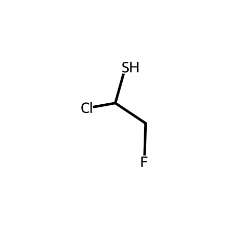 FCC(S)Cl